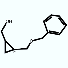 OCC1C[C@@H]1COCc1ccccc1